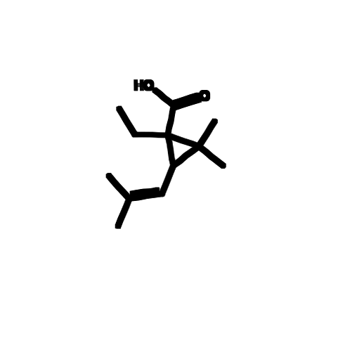 CCC1(C(=O)O)C(C=C(C)C)C1(C)C